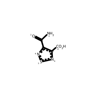 NC(=O)c1nsnc1C(=O)O